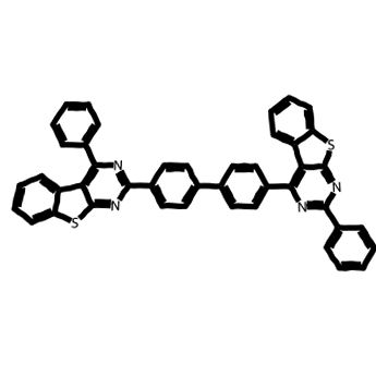 c1ccc(-c2nc(-c3ccc(-c4ccc(-c5nc(-c6ccccc6)c6c(n5)sc5ccccc56)cc4)cc3)c3c(n2)sc2ccccc23)cc1